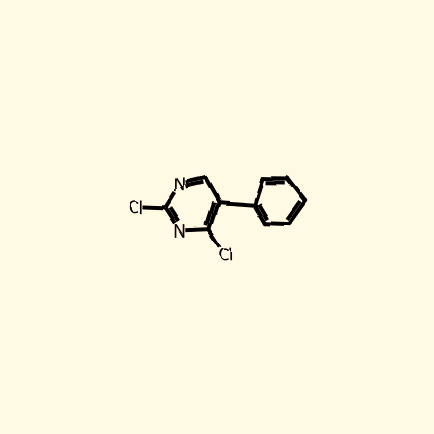 Clc1ncc(-c2ccccc2)c(Cl)n1